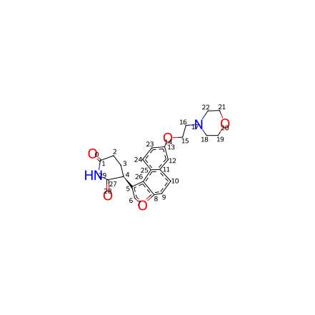 O=C1CC[C@@H](c2coc3ccc4cc(OCCN5CCOCC5)ccc4c23)C(=O)N1